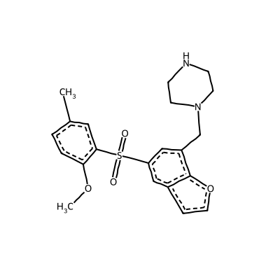 COc1ccc(C)cc1S(=O)(=O)c1cc(CN2CCNCC2)c2occc2c1